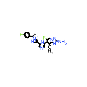 CCC(c1ccc(F)cc1)n1cc(-c2cncc(-c3c(F)cn4nc(N)nc4c3C)n2)cn1